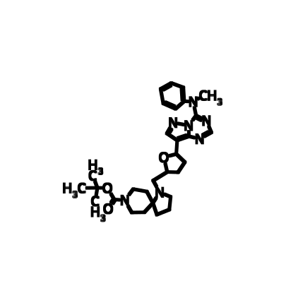 CN(c1ccccc1)c1ncnc2c(C3CCC(CN4CCCC45CCN(C(=O)OC(C)(C)C)CC5)O3)cnn12